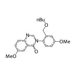 CCCCOCc1cc(OC)ccc1-n1cnc2ccc(OC)cc2c1=O